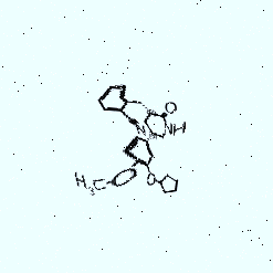 COc1ccc([C@H]2CNC(=O)[C@@H](Cc3ccccc3C#N)C2)cc1OC1CCCC1